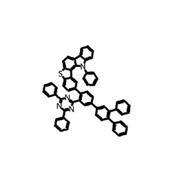 c1ccc(-c2nc(-c3ccccc3)nc(-c3cc(-c4ccc(-c5ccccc5)c(-c5ccccc5)c4)ccc3-c3ccc4sc5ccc6c7ccccc7n(-c7ccccc7)c6c5c4c3)n2)cc1